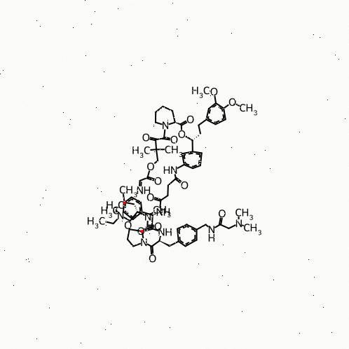 CCN(C)C(=O)[C@H](CC(C)C)N(C)C(=O)[C@H]1CCCN1C(=O)[C@H](Cc1ccc(CNC(=O)CN(C)C)cc1)NC(=O)[C@@H](NC(=O)CCC(=O)Nc1cccc([C@@H](CCc2ccc(OC)c(OC)c2)OC(=O)[C@@H]2CCCCN2C(=O)C(=O)C(C)(C)COC(=O)C=N)c1)c1ccccc1